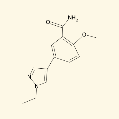 CCn1cc(-c2ccc(OC)c(C(N)=O)c2)cn1